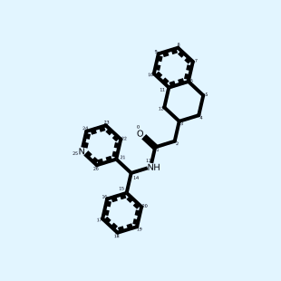 O=C(CC1CCc2ccccc2C1)NC(c1ccccc1)c1cccnc1